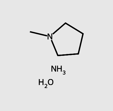 CN1CCCC1.N.O